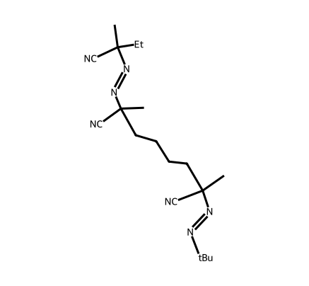 CCC(C)(C#N)N=NC(C)(C#N)CCCCC(C)(C#N)N=NC(C)(C)C